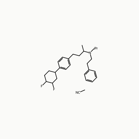 CC#N.CC(C)N(CCc1ccccc1)C(C)CCc1ccc(C2CCC(F)C(F)C2)cc1